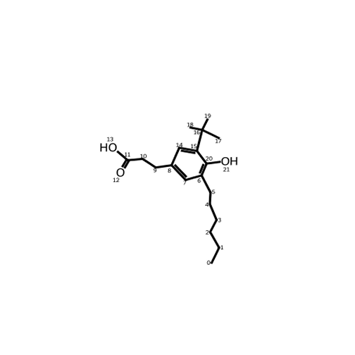 CCCCCCc1cc(CCC(=O)O)cc(C(C)(C)C)c1O